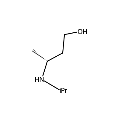 CC(C)N[C@H](C)CCO